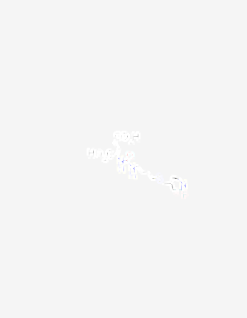 O=C(O)CCC(NC(=O)NCCCCSCc1ccnc([18F])c1)C(=O)O